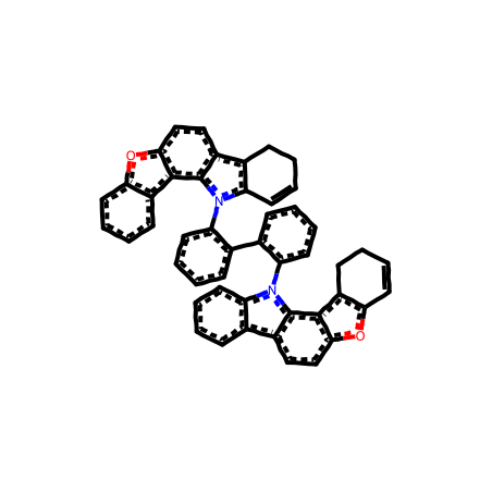 C1=Cc2c(c3ccc4oc5ccccc5c4c3n2-c2ccccc2-c2ccccc2-n2c3ccccc3c3ccc4oc5c(c4c32)CCC=C5)CC1